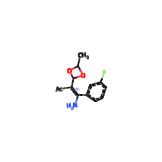 CC(=O)/C(=C(\N)c1cccc(F)c1)C1OC(C)O1